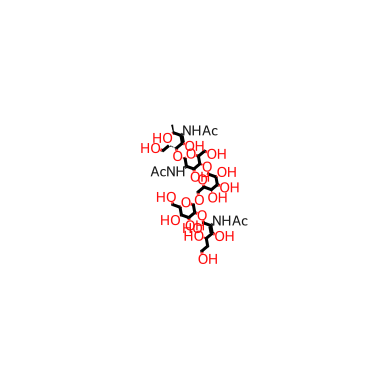 CC(=O)N/C(=C(\O)[C@@H](CCO)O[C@@H]1OC(CO)[C@@H](O[C@@H]2OC(CO[C@H]3OC(CO)[C@@H](O)C(O)C3O[C@H](O)/C(NC(C)=O)=C(/O)[C@H](O)CCO)[C@@H](O)C(O)C2O)C(O)C1NC(C)=O)[C@H](C)O